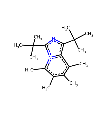 Cc1c(C)c(C)n2c(C(C)(C)C)nc(C(C)(C)C)c2c1C